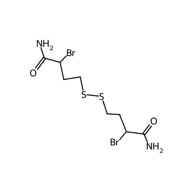 NC(=O)C(Br)CCSSCCC(Br)C(N)=O